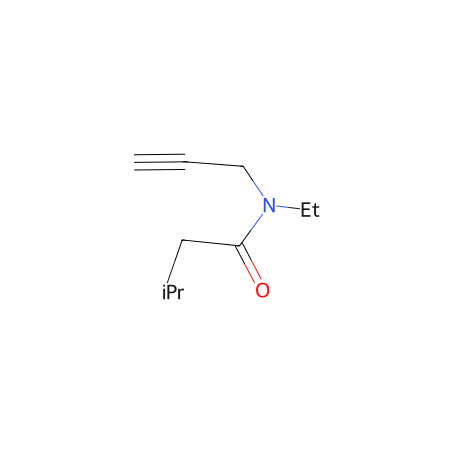 C#CCN(CC)C(=O)CC(C)C